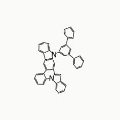 c1ccc(-c2cc(-c3ccccc3)cc(-n3c4ccccc4c4cc5c6ccccc6n6c7ccccc7cc6c5cc43)c2)cc1